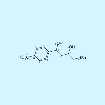 CC(C)(C)CC(O)CC(O)c1ccc(C(=O)O)cc1